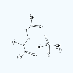 NC(CCC(=O)O)C(=O)O.O=S(=O)(O)O.[Fe]